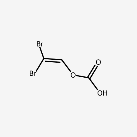 O=C(O)OC=C(Br)Br